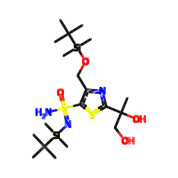 CC(O)(CO)c1nc(CO[Si](C)(C)C(C)(C)C)c(S(N)(=O)=N[Si](C)(C)C(C)(C)C)s1